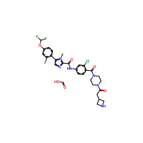 Cn1c(-c2ccc(OC(F)F)cc2F)cnc1C(=O)Nc1ccc(C(=O)N2CCN(C(=O)CC3CNC3)CC2)c(Cl)c1.O=CO